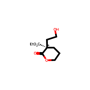 CCOC(=O)[C@]1(CCO)CCCOC1=O